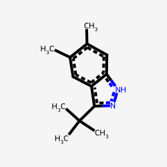 Cc1cc2[nH]nc(C(C)(C)C)c2cc1C